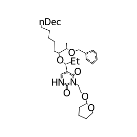 CCCCCCCCCCCCCCCC(OC(CC)c1c[nH]c(=O)n(CCOC2CCCCO2)c1=O)C(C)OCc1ccccc1